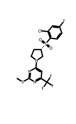 CSc1nc(N2CC[C@H](S(=O)(=O)c3ccc(F)cc3Cl)C2)cc(C(F)(F)F)n1